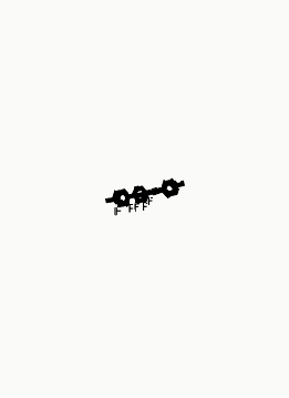 Cc1ccc(C#CC23CCC(c4ccc(C)c(F)c4F)(CC2)C(F)C3(F)F)cc1